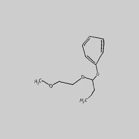 CCC(OCCOC)Oc1cc[c]cc1